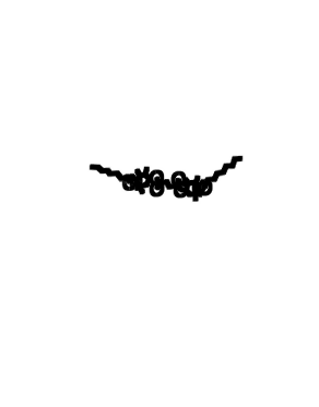 CCCCCCCCON1C(C)C(C)C(OC(=O)CCC(=O)OC2CC(C)(C)N(OCCCCCCCC)C(C)C2C)CC1(C)C